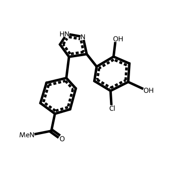 CNC(=O)c1ccc(-c2c[nH]nc2-c2cc(Cl)c(O)cc2O)cc1